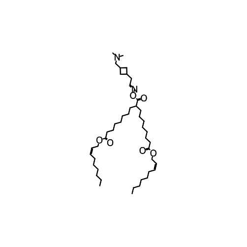 CCCCCC/C=C\COC(=O)CCCCCCCC(CCCCCCCC(=O)OC/C=C\CCCCCC)C(=O)O/N=C/CC1CC(CN(C)C)C1